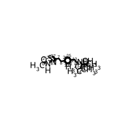 CC(=O)Nc1nc(CCc2ccc(CCNC(C(C)(C)C)C(C)(C)C)cc2)cs1